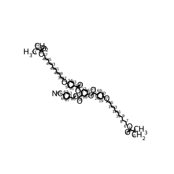 C=C(C)C(=O)OCCCCCCCCCCCOc1ccc(C(=O)Oc2ccc(OC(=O)c3ccc(OCCCCCCCCCCCOC(=O)C(=C)C)cc3)c(C(=O)OCc3ccc(C#N)cc3)c2)cc1